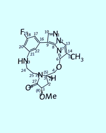 CO[C@@H]1C[C@H]2COc3nc4c(cnn4cc3C)-c3cc(F)cc(c3)NCCN2C1=O